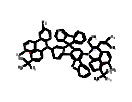 C=N/C(=C(\C=C(C)C)c1ccc(C)cc1)N(c1ccc(C(C)(C)C)cc1)c1cc2c(c3oc4ccccc4c13)-c1ccc(N(c3ccc(C(C)(C)C)cc3)c3ncc(C)cc3-c3ccc(C)cc3)cc1C21c2ccccc2-c2ccccc21